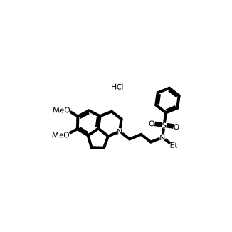 CCN(CCCN1CCc2cc(OC)c(OC)c3c2C1CC3)S(=O)(=O)c1ccccc1.Cl